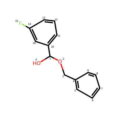 OC(OCc1ccccc1)c1cccc(F)c1